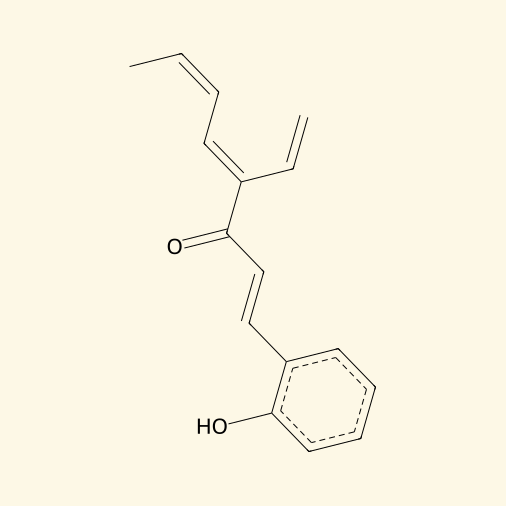 C=C/C(=C\C=C/C)C(=O)/C=C/c1ccccc1O